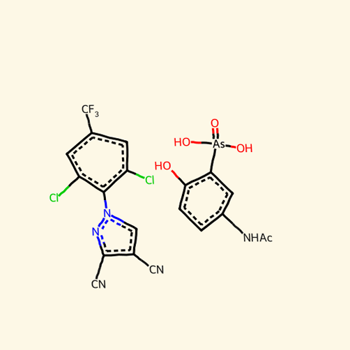 CC(=O)Nc1ccc(O)c([As](=O)(O)O)c1.N#Cc1cn(-c2c(Cl)cc(C(F)(F)F)cc2Cl)nc1C#N